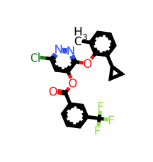 Cc1cccc(C2CC2)c1Oc1nnc(Cl)cc1OC(=O)c1cccc(C(F)(F)F)c1